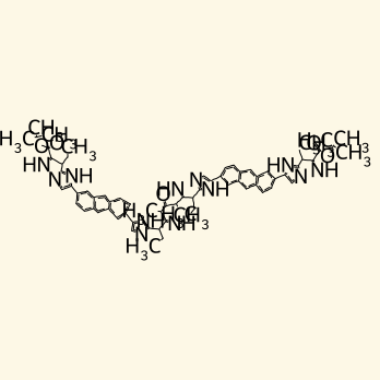 CCC(C(=N)C(=O)OC(C)(C)C)c1ncc(-c2ccc3cc4cc(-c5cnc(C(CC)C(=N)C(C)C(=O)C(C)C(=N)C(CC)c6ncc(-c7ccc8cc9cc(-c%10cnc(C(CC)C(=N)C(=O)OC(C)(C)C)[nH]%10)ccc9cc8c7)[nH]6)[nH]5)ccc4cc3c2)[nH]1